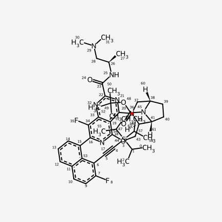 CC(C)[Si](C#Cc1c(F)ccc2cccc(-c3nc4c5c(nc(C(=O)N[C@H](C)CN(C)C)nc5c3F)N3C[C@@H]5CC[C@H]([C@H]3CO4)N5C(=O)OC(C)(C)C)c12)(C(C)C)C(C)C